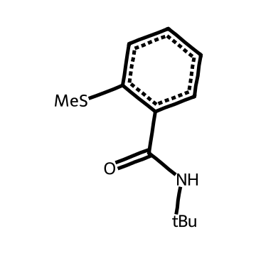 CSc1ccccc1C(=O)NC(C)(C)C